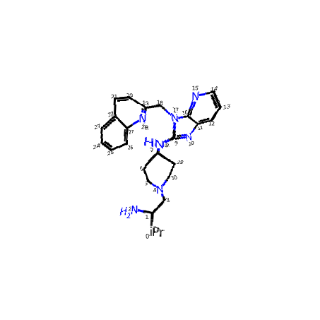 CC(C)C(N)CN1CCC(Nc2nc3cccnc3n2Cc2ccc3ccccc3n2)CC1